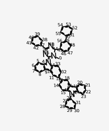 CN1C(n2c3ccccc3c3cc(-c4ccc5c(c4)c4ccccc4n5-c4ccccc4)ccc32)=NC(c2ccccc2)=NC1c1cccc(-c2ccccc2)c1